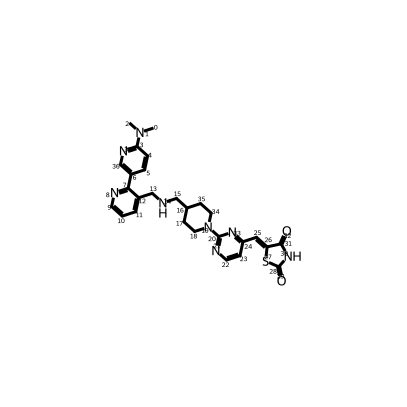 CN(C)c1ccc(-c2ncccc2CNCC2CCN(c3nccc(/C=C4\SC(=O)NC4=O)n3)CC2)cn1